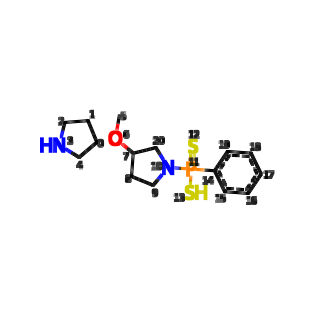 C1CCNC1.COC1CCN(P(=S)(S)c2ccccc2)C1